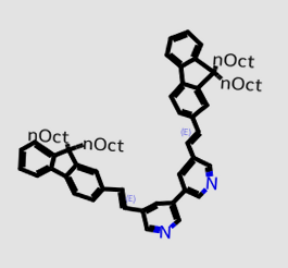 CCCCCCCCC1(CCCCCCCC)c2ccccc2-c2ccc(/C=C/c3cncc(-c4cncc(/C=C/c5ccc6c(c5)C(CCCCCCCC)(CCCCCCCC)c5ccccc5-6)c4)c3)cc21